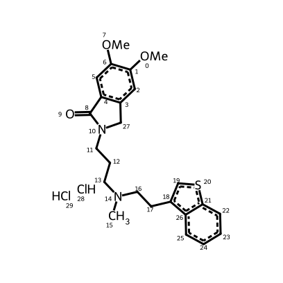 COc1cc2c(cc1OC)C(=O)N(CCCN(C)CCc1csc3ccccc13)C2.Cl.Cl